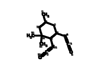 CC1CC(N=C=O)C(N=C=O)C(C)(C)C1